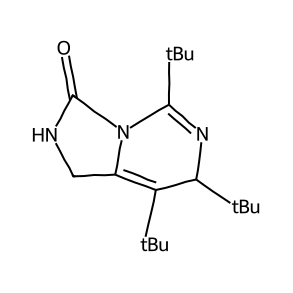 CC(C)(C)C1=NC(C(C)(C)C)C(C(C)(C)C)=C2CNC(=O)N12